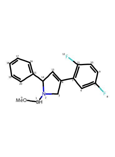 COBN1CC(c2cc(F)ccc2F)=CC1c1ccccc1